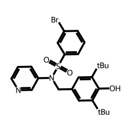 CC(C)(C)c1cc(CN(c2cccnc2)S(=O)(=O)c2cccc(Br)c2)cc(C(C)(C)C)c1O